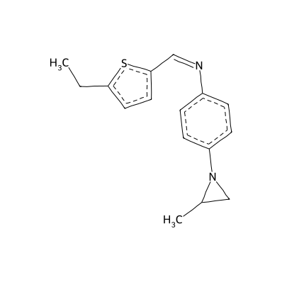 CCc1ccc(/C=N\c2ccc(N3CC3C)cc2)s1